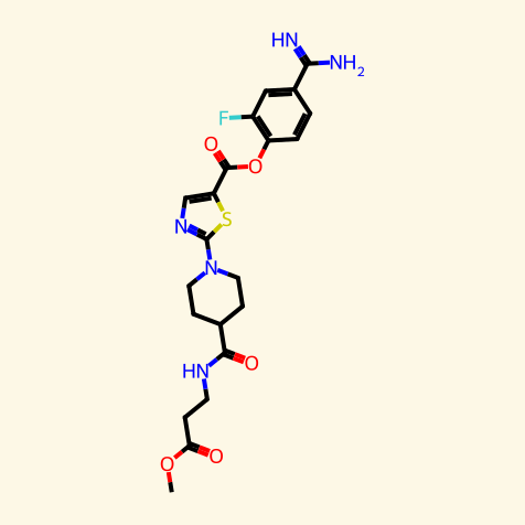 COC(=O)CCNC(=O)C1CCN(c2ncc(C(=O)Oc3ccc(C(=N)N)cc3F)s2)CC1